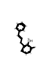 Cc1cccc(C/C=C/c2cc#ccc2)c1O